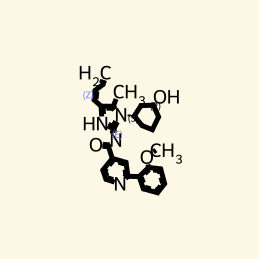 C=C/C=C\c1[nH]/c(=N\C(=O)c2ccnc(-c3ccccc3OC)c2)n([C@H]2CCC[C@@H](O)C2)c1C